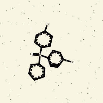 O=P(c1c#cc(Br)cc1)(c1ccccc1)c1ccc(Br)cc1